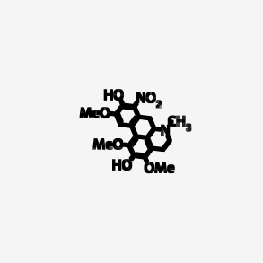 COc1cc2c(c([N+](=O)[O-])c1O)CC1c3c(c(OC)c(O)c(OC)c3-2)CCN1C